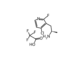 C[C@@H](N)Cc1c(Cl)ccnc1F.O=C(O)C(F)(F)F